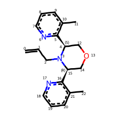 C=CCN1[C@@H](c2ncccc2C)COC[C@H]1c1ncccc1C